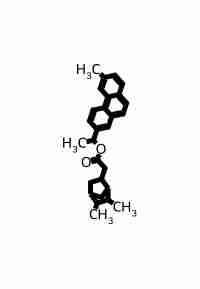 Cc1ccc2ccc3cc(C(C)OC(=O)CC4CC5CC4C(C)C5C)ccc3c2c1